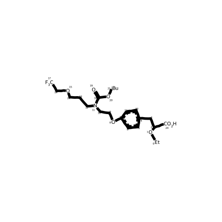 CCOC(Cc1ccc(OCCN(CCCOCC(F)(F)F)C(=O)OC(C)CC)cc1)C(=O)O